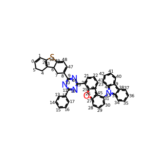 C1=CC2=C(CC1)C1CC(c3nc(-c4ccccc4)nc(-c4cccc5c4oc4cccc(-n6c7ccccc7c7ccccc76)c45)n3)=CC=C1S2